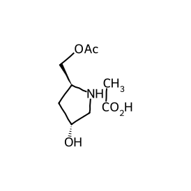 CC(=O)O.CC(=O)OC[C@@H]1C[C@@H](O)CN1